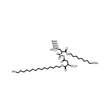 CCCCCCCCCCCCCCCCCCOC(=O)C(CC(=O)O)S(=O)(=O)OC(=O)CC(C(=O)OCCCCCCCCCCCCCCCC(C)C)S(=O)(=O)O.[NaH].[NaH].[NaH].[NaH]